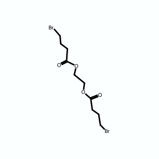 O=C(CCCBr)OCCOC(=O)CCCBr